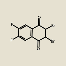 O=C1c2cc(F)c(F)cc2C(=O)C(Br)C1Br